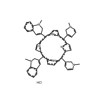 CN1C=CC=C(c2c3nc(c(C4=CC=CN(C)C4)c4ccc([nH]4)c(C4=Cc5ccccc5N(C)C4)c4nc(c(C5=Cc6ccccc6N(C)C5)c5ccc2[nH]5)C=C4)C=C3)C1.Cl